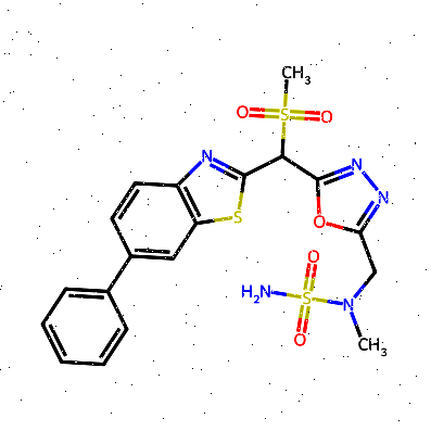 CN(Cc1nnc(C(c2nc3ccc(-c4ccccc4)cc3s2)S(C)(=O)=O)o1)S(N)(=O)=O